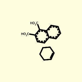 C1=CCCCC1.O=C(O)c1ccc2ccccc2c1C(=O)O